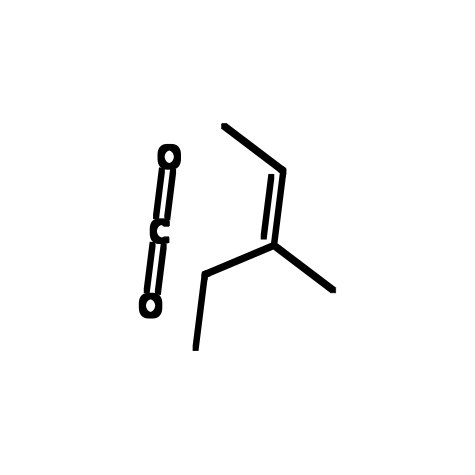 CC=C(C)CC.O=C=O